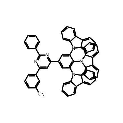 N#Cc1cccc(-c2cc(-c3cc(-n4c5ccccc5c5ccccc54)c(-n4c5ccccc5c5ccccc54)c(-n4c5ccccc5c5ccccc54)c3)nc(-c3ccccc3)n2)c1